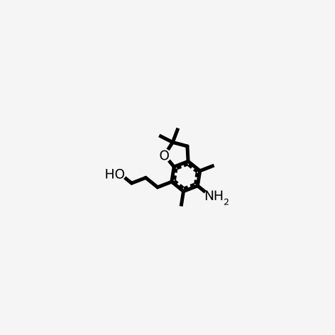 Cc1c(N)c(C)c2c(c1CCCO)OC(C)(C)C2